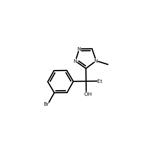 CCC(O)(c1cccc(Br)c1)c1nncn1C